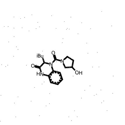 CCC(C)C1C(=O)Nc2ccccc2N1C(=O)N1CCC(O)C1